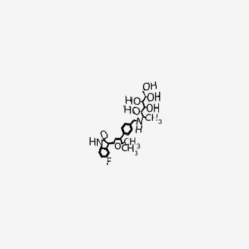 CC(NCc1ccc(C2=C/C(=C3\C(=O)Nc4ccc(F)cc43)OC2(C)C)cc1)[C@H](O)[C@@H](O)[C@@H](O)[C@H](O)CO